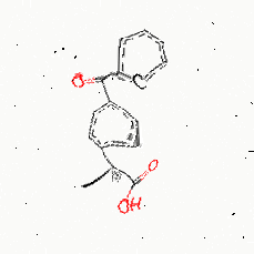 C[C@H](C(=O)O)c1ccc(C(=O)c2ccccc2)cc1